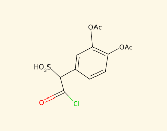 CC(=O)Oc1ccc(C(C(=O)Cl)S(=O)(=O)O)cc1OC(C)=O